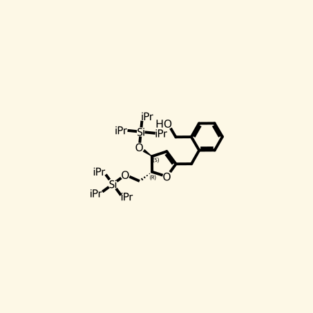 CC(C)[Si](OC[C@H]1OC(Cc2ccccc2CO)=C[C@@H]1O[Si](C(C)C)(C(C)C)C(C)C)(C(C)C)C(C)C